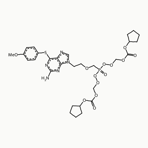 COc1ccc(Sc2nc(N)nc3c2ncn3CCOCP(=O)(OOCOC(=O)OC2CCCC2)OOCOC(=O)OC2CCCC2)cc1